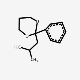 CC(C)CC1(c2ccccc2)OCCCO1